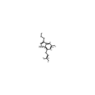 CCCc1c[nH]c2c(CC=C(C)C)cc(C)cc12